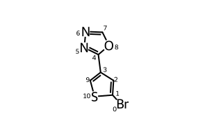 Brc1cc(-c2nnco2)cs1